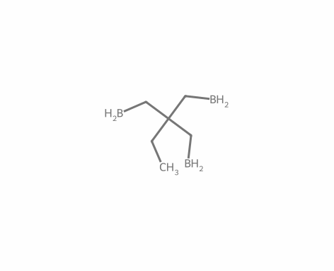 BCC(CB)(CB)CC